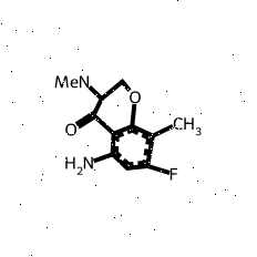 CNC1COc2c(C)c(F)cc(N)c2C1=O